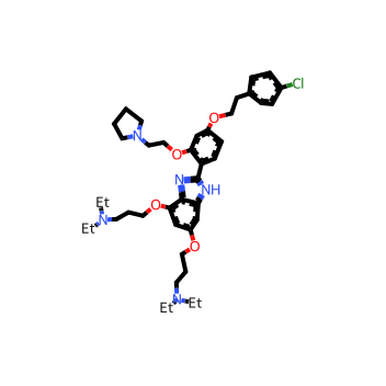 CCN(CC)CCCOc1cc(OCCCN(CC)CC)c2nc(-c3ccc(OCCc4ccc(Cl)cc4)cc3OCCN3CCCC3)[nH]c2c1